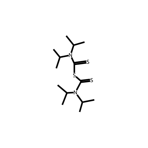 CC(C)N(C(=S)SC(=S)N(C(C)C)C(C)C)C(C)C